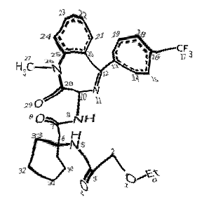 CCOCC(=O)NC1(C(=O)NC2N=C(c3ccc(C(F)(F)F)cc3)c3ccccc3N(C)C2=O)CCCC1